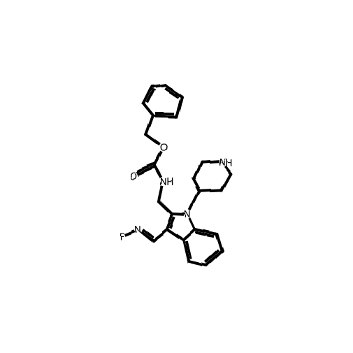 O=C(NCc1c(C=NF)c2ccccc2n1C1CCNCC1)OCc1ccccc1